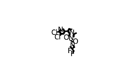 Cc1cn(CC(=O)N2CC(F)(CF)C2)c(=O)c2c(-c3cnc(Cl)c(Cl)c3)ccn12